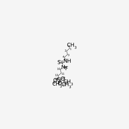 CCCCCNC(=S)N(F)CCC[Si](OC)(OC)OC